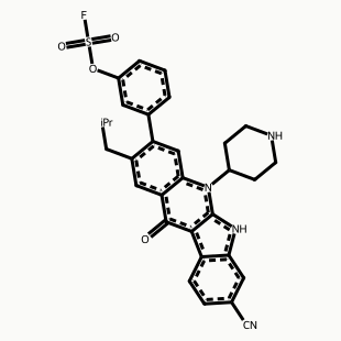 CC(C)Cc1cc2c(=O)c3c4ccc(C#N)cc4[nH]c3n(C3CCNCC3)c2cc1-c1cccc(OS(=O)(=O)F)c1